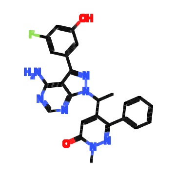 CC(c1cc(=O)n(C)nc1-c1ccccc1)n1nc(-c2cc(O)cc(F)c2)c2c(N)ncnc21